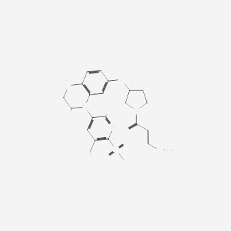 COCCC(=O)N1CCC(Oc2ccc3c(c2)N(c2cnc(S(C)(=O)=O)c(C)c2)CCO3)C1